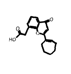 O=C(O)Cc1cccc2c(=O)cc(C3=CCCCCC3)oc12